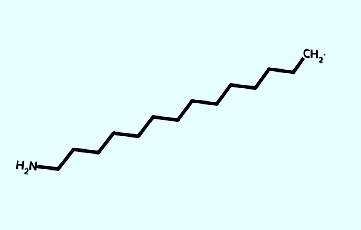 [CH2]CCCCCCCCCCCCCN